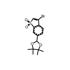 CC1(C)OC(c2ccc3c(c2)S(=O)(=O)C=C3Br)OC1(C)C